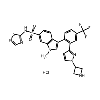 Cl.Cn1cc(-c2ccc(C(F)(F)F)cc2-c2ccn(C3CNC3)n2)c2ccc(S(=O)(=O)Nc3ncns3)cc21